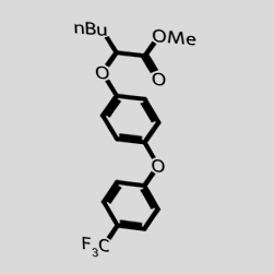 CCCCC(Oc1ccc(Oc2ccc(C(F)(F)F)cc2)cc1)C(=O)OC